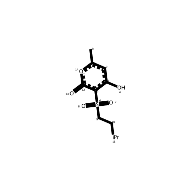 Cc1cc(O)c(S(=O)(=O)CCC(C)C)c(=O)o1